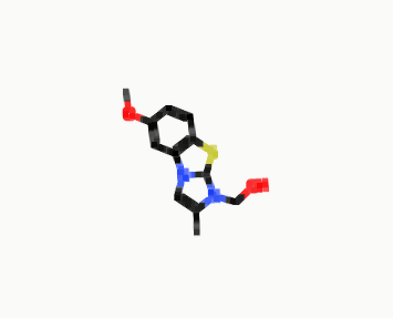 COc1ccc2c(c1)N1C=C(C)N(CO)C1S2